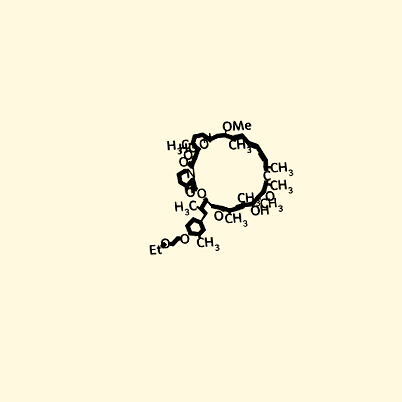 CCOCCO[C@@H]1CC[C@@H](C[C@@H](C)[C@@H]2CC(=O)[C@H](C)/C=C(\C)[C@@H](O)[C@@H](C)C(=O)[C@H](C)C[C@H](C)/C=C/C=C/C=C(\C)[C@@H](OC)C[C@@H]3CC[C@@H](C)[C@@](O)(O3)C(=O)C(=O)N3CCCC[C@H]3C(=O)O2)C[C@H]1C